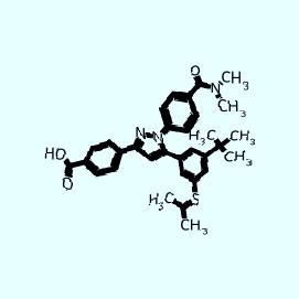 CC(C)Sc1cc(-c2cc(-c3ccc(C(=O)O)cc3)nn2-c2ccc(C(=O)N(C)C)cc2)cc(C(C)(C)C)c1